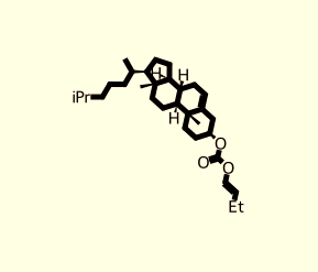 CCC=COC(=O)O[C@H]1CC[C@@]2(C)C(=CC[C@H]3[C@@H]4CC[C@H](C(C)CCCC(C)C)[C@@]4(C)CC[C@@H]32)C1